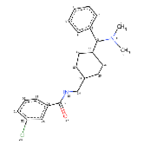 CN(C)C(c1ccccc1)C1CCC(CNC(=O)c2cccc(Cl)c2)CC1